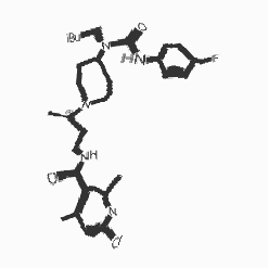 CCC(C)CN(C(=O)Nc1ccc(F)cc1)C1CCN([C@H](C)CCNC(=O)c2c(C)cc(Cl)nc2C)CC1